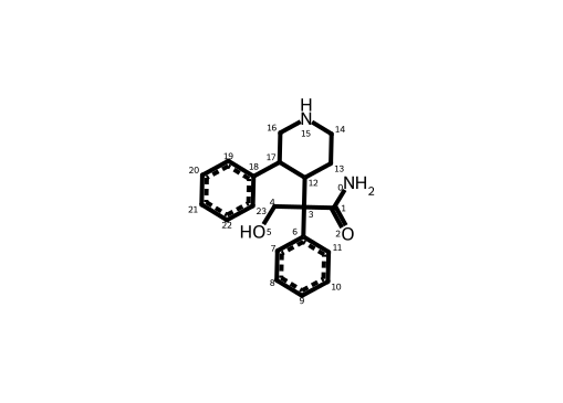 NC(=O)C(CO)(c1ccccc1)C1CCNCC1c1ccccc1